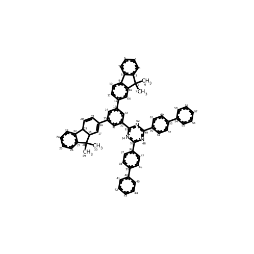 CC1(C)c2ccccc2-c2ccc(-c3cc(C4=CC5C(C=C4)c4ccccc4C5(C)C)cc(-c4nc(-c5ccc(-c6ccccc6)cc5)nc(-c5ccc(-c6ccccc6)cc5)n4)c3)cc21